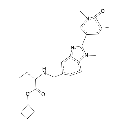 CC[C@H](NCc1ccc2c(c1)nc(-c1cc(C)c(=O)n(C)c1)n2C)C(=O)OC1CCC1